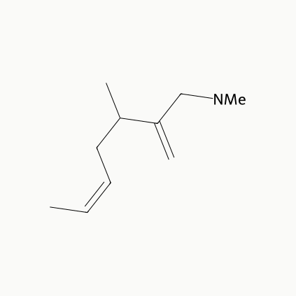 C=C(CNC)C(C)C/C=C\C